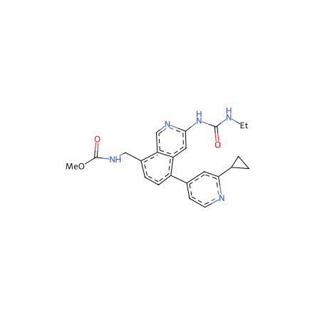 CCNC(=O)Nc1cc2c(-c3ccnc(C4CC4)c3)ccc(CNC(=O)OC)c2cn1